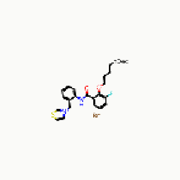 CCCCCCCCCCCCCCOc1c(F)cccc1C(=O)Nc1ccccc1C[n+]1ccsc1.[Br-]